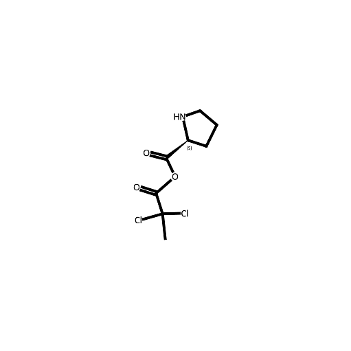 CC(Cl)(Cl)C(=O)OC(=O)[C@@H]1CCCN1